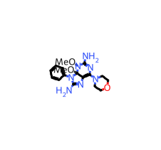 CON1C(N)=NC(N2CCOCC2)=C2N=C(N)N(c3ccccc3)C21OC